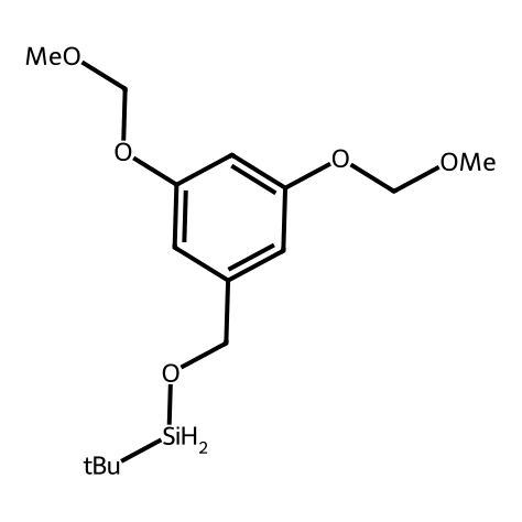 COCOc1cc(CO[SiH2]C(C)(C)C)cc(OCOC)c1